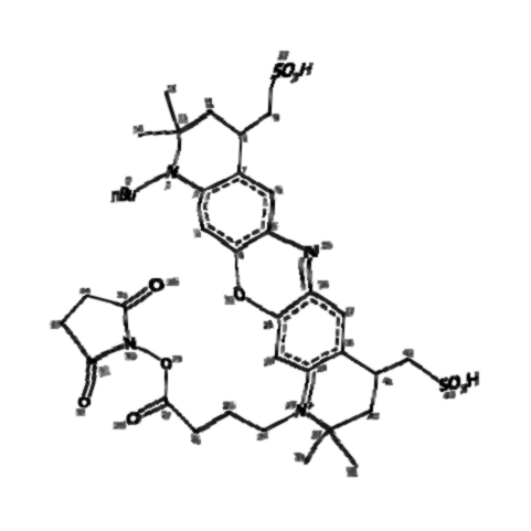 CCCCN1c2cc3c(cc2C(CS(=O)(=O)O)CC1(C)C)N=c1cc2c(cc1O3)=[N+](CCCC(=O)ON1C(=O)CCC1=O)C(C)(C)CC2CS(=O)(=O)O